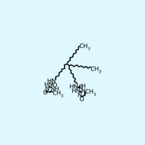 CCCCCCCCCCC(CCCCCCCCNC(=O)Nc1nc(=O)cc(C)[nH]1)C(CCCCCCCCCC)CCCCCCCCNC(=O)Nc1nc(=O)cc(C)[nH]1